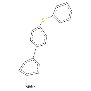 CSc1ccc(-c2ccc(Sc3ccccc3)cc2)cc1